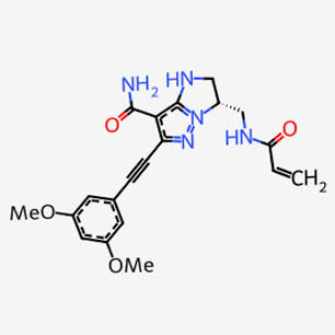 C=CC(=O)NC[C@H]1CNc2c(C(N)=O)c(C#Cc3cc(OC)cc(OC)c3)nn21